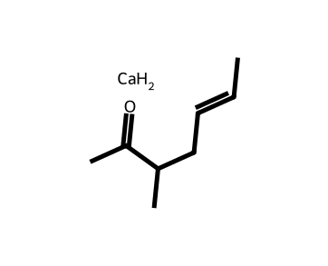 CC=CCC(C)C(C)=O.[CaH2]